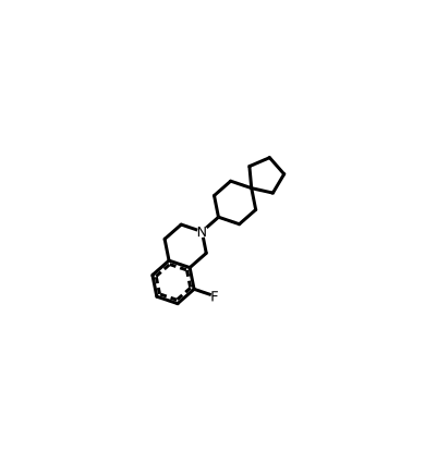 Fc1cccc2c1CN(C1CCC3(CCCC3)CC1)CC2